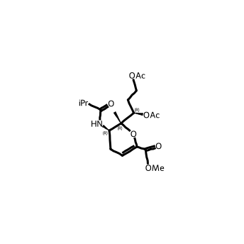 COC(=O)C1=CC[C@@H](NC(=O)C(C)C)[C@](C)([C@@H](CCOC(C)=O)OC(C)=O)O1